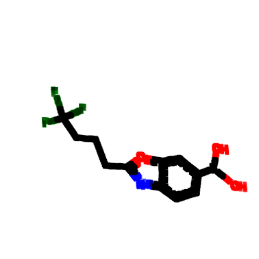 OB(O)c1ccc2nc(CCCC(F)(F)F)oc2c1